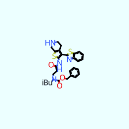 CCC(C)N(CCC(=O)Nc1sc2c(c1-c1nc3ccccc3s1)CCNC2)C(=O)OCc1ccccc1